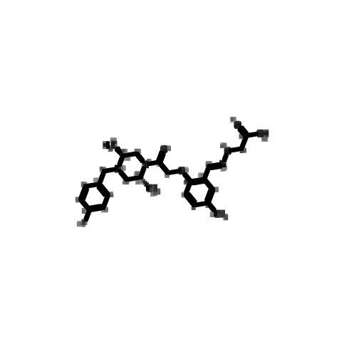 Cc1ccc(OCC(=O)N2C[C@H](C)N(Cc3ccc(F)cc3)C[C@H]2C)c(C=NOCC(=O)O)c1